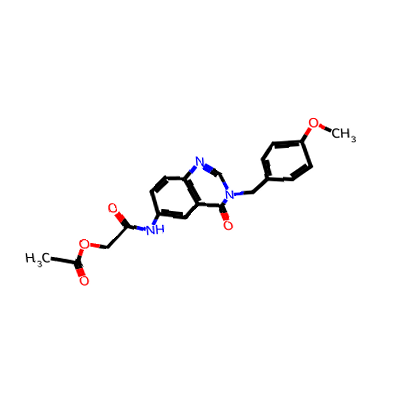 COc1ccc(Cn2cnc3ccc(NC(=O)COC(C)=O)cc3c2=O)cc1